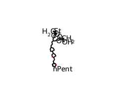 C=C(CC)C(=O)OCCC(CCCC1CCC(C2CCC(CCc3ccc(CCCCC)cc3)CC2)CC1)CCOC(=O)C(=C)CO